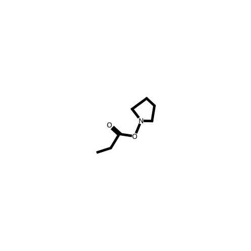 CCC(=O)ON1CCCC1